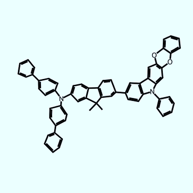 CC1(C)c2cc(-c3ccc4c(c3)c3cc5c(cc3n4-c3ccccc3)Oc3ccccc3O5)ccc2-c2ccc(N(c3ccc(-c4ccccc4)cc3)c3ccc(-c4ccccc4)cc3)cc21